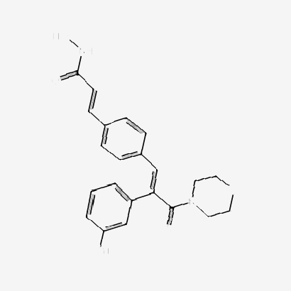 Cc1cccc(/C(=C\c2ccc(/C=C/C(=O)NO)cc2)C(=O)N2CCOCC2)c1